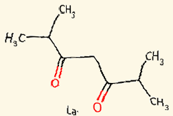 CC(C)C(=O)CC(=O)C(C)C.[La]